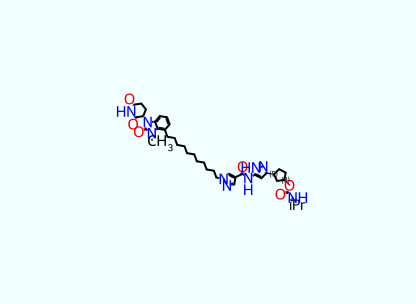 CC(C)NC(=O)O[C@@H]1CC[C@H](c2cc(NC(=O)c3cnn(CCCCCCCCCCCc4cccc5c4n(C)c(=O)n5C4CCC(=O)NC4=O)c3)[nH]n2)C1